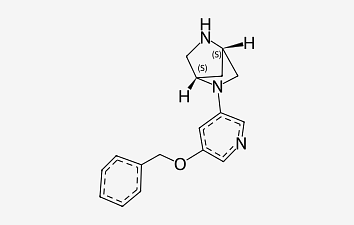 c1ccc(COc2cncc(N3C[C@@H]4C[C@H]3CN4)c2)cc1